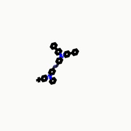 CC(C)(C)c1ccc(N(c2ccccc2)c2ccc(/C=C/c3ccc(N(c4ccc(-c5ccccc5)cc4)c4ccc(-c5ccccc5)cc4)cc3)cc2)cc1